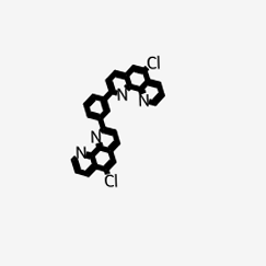 Clc1cc2ccc(-c3cccc(-c4ccc5cc(Cl)c6cccnc6c5n4)c3)nc2c2ncccc12